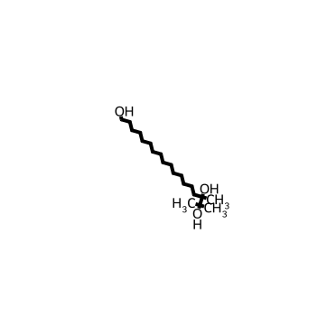 CC(C)(O)C(C)(O)CCCCCCCCCCCCCCCO